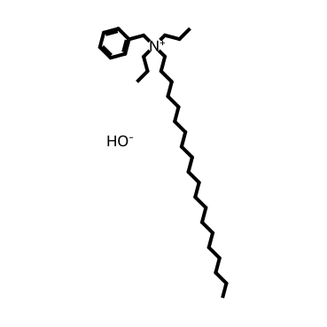 CCCCCCCCCCCCCCCCCCCC[N+](CCC)(CCC)Cc1ccccc1.[OH-]